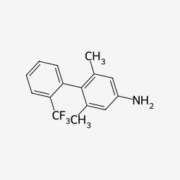 Cc1cc(N)cc(C)c1-c1ccccc1C(F)(F)F